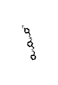 Fc1ccc(CSSc2cccc(CSCc3ccccc3)c2)cc1